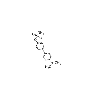 CN(C)c1ccc(-c2ccc(OS(N)(=O)=O)cc2)cc1